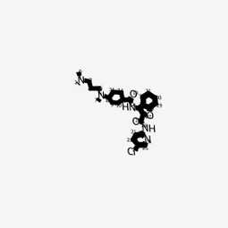 CN(C)CCCN(C)C1CCC(C(=O)Nc2c(C(=O)Nc3ccc(Cl)cn3)oc3ccccc23)CC1